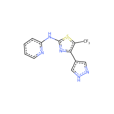 FC(F)(F)c1sc(Nc2ccccn2)nc1-c1cn[nH]c1